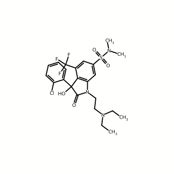 CCN(CC)CCN1C(=O)C(O)(c2ccccc2Cl)c2c1cc(S(=O)(=O)N(C)C)cc2C(F)(F)F